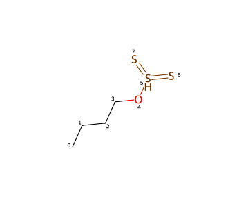 CCCCO[SH](=S)=S